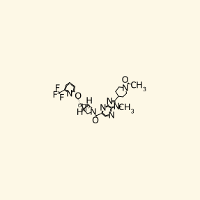 CC(=O)N1CCC(c2nc3nc(C(=O)N4C[C@@H]5[C@H](COc6cccc(C(F)(F)F)n6)[C@@H]5C4)cnc3n2C)CC1